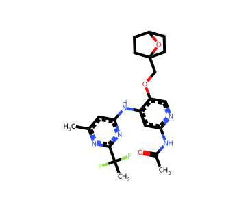 CC(=O)Nc1cc(Nc2cc(C)nc(C(C)(F)F)n2)c(OCC23CCC(CC2)O3)cn1